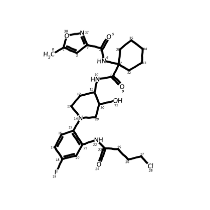 Cc1cc(C(=O)NC2(C(=O)NC3CCN(c4ccc(F)cc4NC(=O)CCCCl)CC3O)CCCCC2)no1